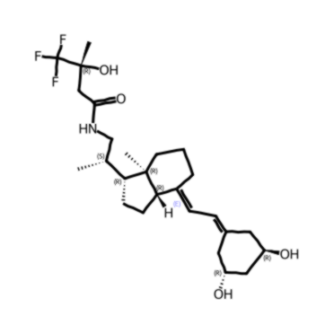 C[C@H](CNC(=O)C[C@@](C)(O)C(F)(F)F)[C@H]1CC[C@H]2/C(=C/C=C3C[C@@H](O)C[C@H](O)C3)CCC[C@]12C